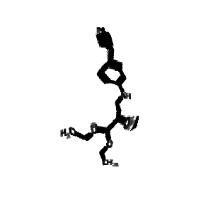 CCOC(OCC)C(O)CNc1ccc(C#N)cc1